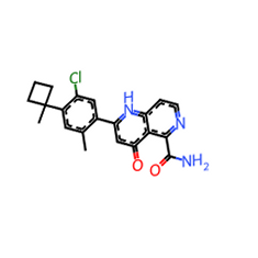 Cc1cc(C2(C)CCC2)c(Cl)cc1-c1cc(=O)c2c(C(N)=O)nccc2[nH]1